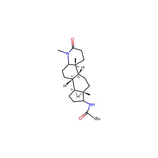 CN1C(=O)CC[C@@]2(C)C1CC[C@@H]1[C@H]2CC[C@]2(C)C(NC(=O)C(C)(C)C)CC[C@@H]12